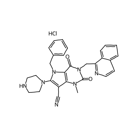 Cl.Cn1c(=O)n(Cc2nccc3ccccc23)c(=O)c2c1c(C#N)c(N1CCNCC1)n2Cc1ccccc1